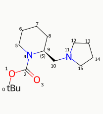 CC(C)(C)OC(=O)N1CCCC[C@H]1CN1CCCC1